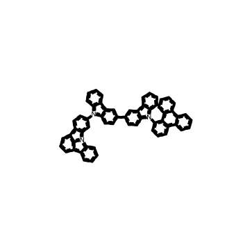 c1ccc2c(c1)c1ccccc1c1c(-n3c4ccccc4c4cc(-c5ccc6c(c5)c5ccccc5n6-c5ccc6c7cccc8c9ccccc9n(c6c5)c87)ccc43)cccc21